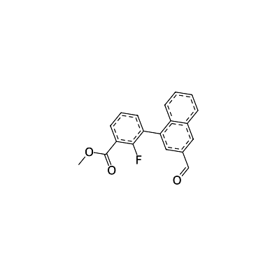 COC(=O)c1cccc(-c2cc(C=O)cc3ccccc23)c1F